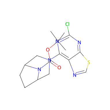 CC(C)(C)OC(=O)N1C2CCC1CN(c1nc(Cl)nc3scnc13)C2